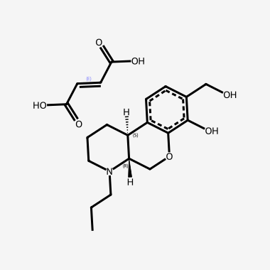 CCCN1CCC[C@H]2c3ccc(CO)c(O)c3OC[C@@H]21.O=C(O)/C=C/C(=O)O